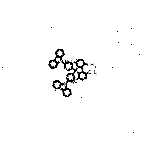 Cc1ccc(C)c2c1-c1c(C)ccc(C)c1C2(c1ccc(-n2c3ccccc3c3ccccc32)cc1)c1ccc(-n2c3ccccc3c3ccccc32)cc1